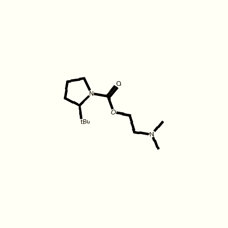 CN(C)CCOC(=O)N1CCCC1C(C)(C)C